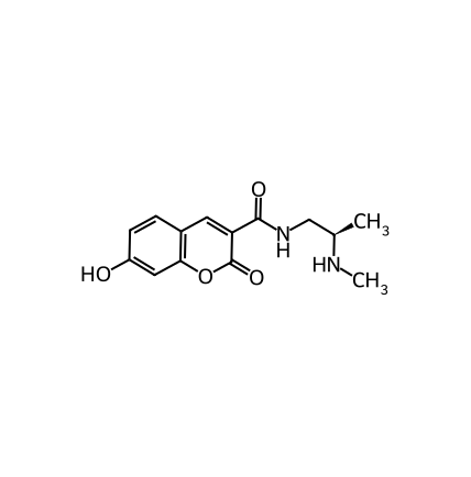 CN[C@H](C)CNC(=O)c1cc2ccc(O)cc2oc1=O